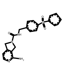 Nc1nccc2c1CN(C(=O)NCc1ccc(S(=O)(=O)c3ccccc3)cc1)C2